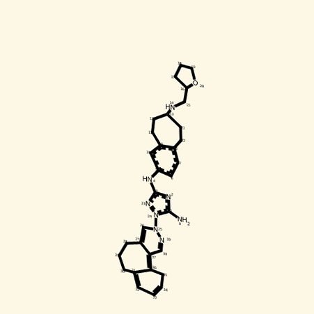 Nc1nc(Nc2ccc3c(c2)CCC(NCC2CCCO2)CC3)nn1N1C=C2CCCC3=CC=CCC3=C2C=N1